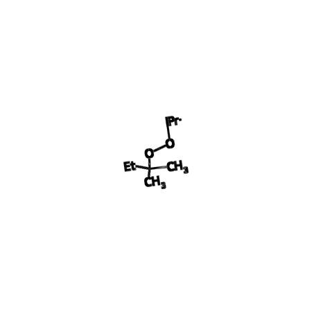 CCC(C)(C)OO[C](C)C